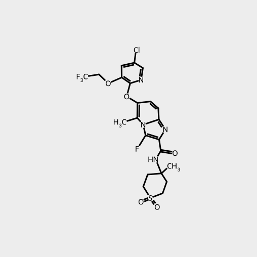 Cc1c(Oc2ncc(Cl)cc2OCC(F)(F)F)ccc2nc(C(=O)NC3(C)CCS(=O)(=O)CC3)c(F)n12